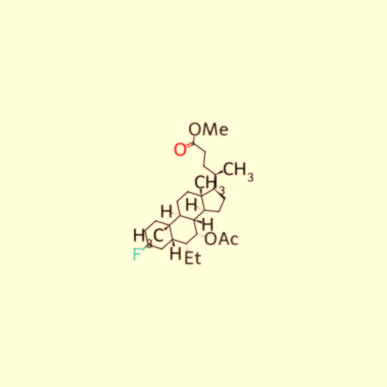 CC[C@H]1[C@@H](OC(C)=O)[C@@H]2[C@H](CC[C@]3(C)[C@@H]([C@H](C)CCC(=O)OC)CC[C@@H]23)[C@@]2(C)CC[C@H](F)C[C@@H]12